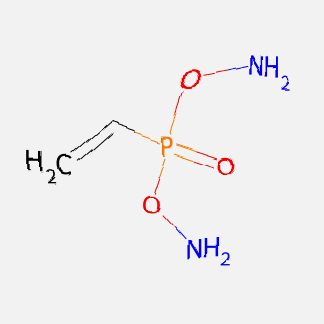 C=CP(=O)(ON)ON